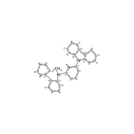 CN(c1cccc(-n2c3ccccc3c3ccccc32)n1)c1ccccc1-c1ccccc1